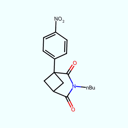 CCCCN1C(=O)C2CC(c3ccc([N+](=O)[O-])cc3)(C2)C1=O